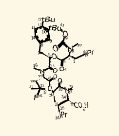 CC(C)C[C@@H](C(=O)O[C@H](Cc1ccc(C(C)(C)C)cc1)C(=O)N(C)[C@@H](CC(C)(C)F)C(=O)O[C@H](C)C(=O)N(C)[C@@H](CC(C)C)C(=O)O)N(C)C(=O)OC(C)(C)C